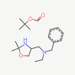 CC(C)(C)OC=O.CCN(Cc1ccccc1)CC1COC(C)(C)N1